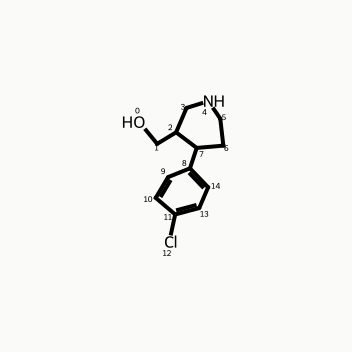 OCC1CNCCC1c1ccc(Cl)cc1